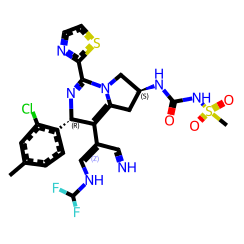 Cc1ccc([C@@H]2N=C(c3nccs3)N3C[C@@H](NC(=O)NS(C)(=O)=O)CC3=C2/C(C=N)=C/NC(F)F)c(Cl)c1